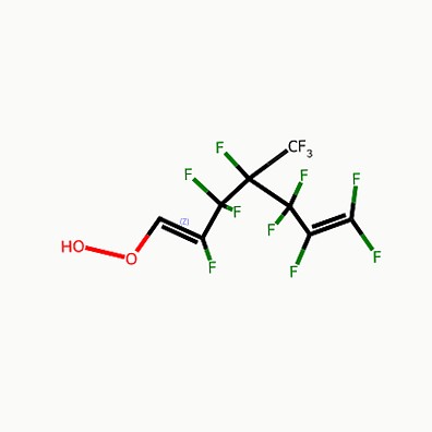 OO/C=C(\F)C(F)(F)C(F)(C(F)(F)F)C(F)(F)C(F)=C(F)F